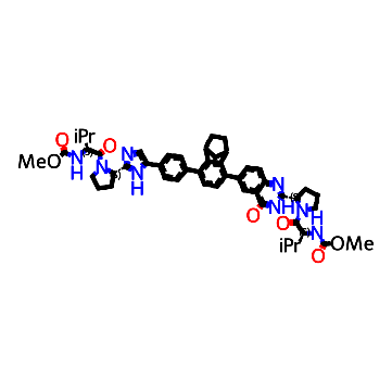 COC(=O)N[C@H](C(=O)N1CCC[C@H]1c1ncc(-c2ccc(-c3ccc(-c4ccc5nc([C@@H]6CCCN6C(=O)[C@@H](NC(=O)OC)C(C)C)[nH]c(=O)c5c4)c4c3C3CCC4C3)cc2)[nH]1)C(C)C